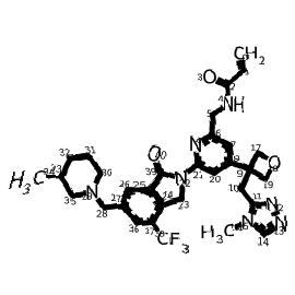 C=CC(=O)NCc1cc(C2(Cc3nncn3C)COC2)cc(N2Cc3c(cc(CN4CCC[C@H](C)C4)cc3C(F)(F)F)C2=O)n1